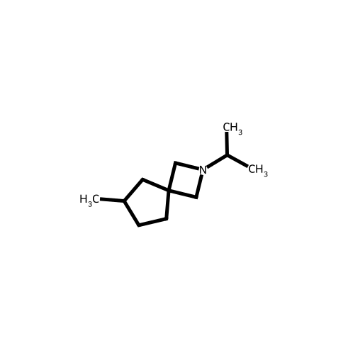 CC1CCC2(C1)CN(C(C)C)C2